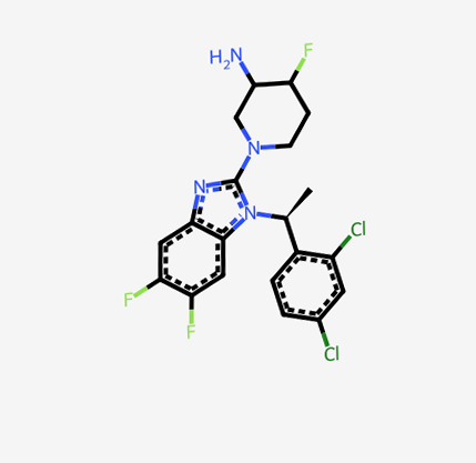 C[C@@H](c1ccc(Cl)cc1Cl)n1c(N2CCC(F)C(N)C2)nc2cc(F)c(F)cc21